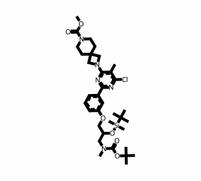 COC(=O)N1CCC2(CC1)CN(c1nc(-c3cccc(OCC(CN(C)C(=O)OC(C)(C)C)O[Si](C)(C)C(C)(C)C)c3)nc(Cl)c1C)C2